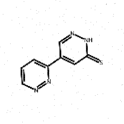 S=c1cc(-c2cccnn2)cn[nH]1